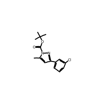 Cc1cc(-c2cccc(Cl)c2)nn1C(=O)OC(C)(C)C